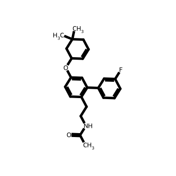 CC(=O)NCCc1ccc(OC2C=CCC(C)(C)C2)cc1-c1cccc(F)c1